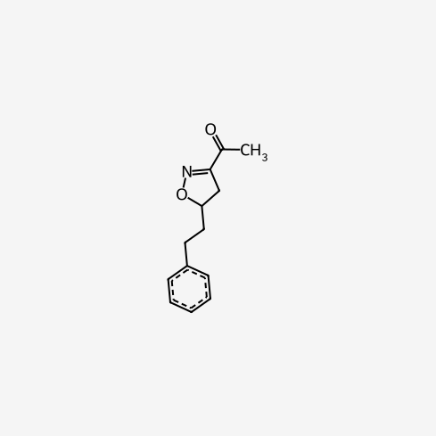 CC(=O)C1=NOC(CCc2ccccc2)C1